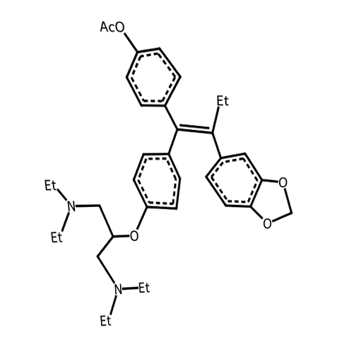 CCC(=C(c1ccc(OC(C)=O)cc1)c1ccc(OC(CN(CC)CC)CN(CC)CC)cc1)c1ccc2c(c1)OCO2